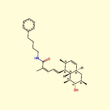 CC(=CC=C[C@@H]1[C@H]2[C@H](C)[C@@H](O)[C@H](C)C[C@@H]2C=C[C@@H]1C)C(=O)NCCCCc1ccccc1